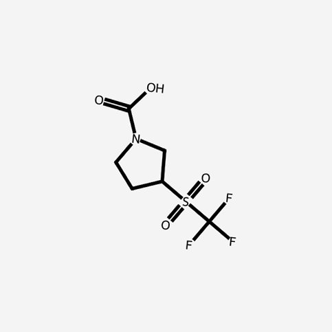 O=C(O)N1CCC(S(=O)(=O)C(F)(F)F)C1